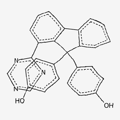 Oc1ccc(C2(c3ccc(O)cc3)c3ccccc3-c3cccc(-c4ncncn4)c32)cc1